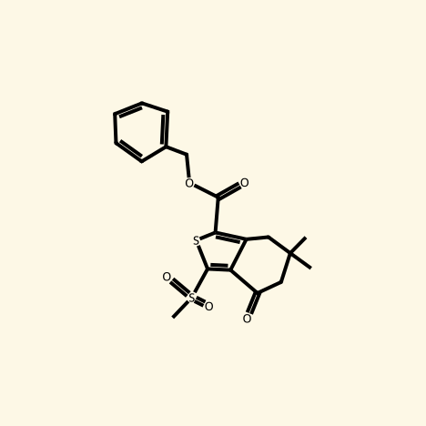 CC1(C)CC(=O)c2c(S(C)(=O)=O)sc(C(=O)OCc3ccccc3)c2C1